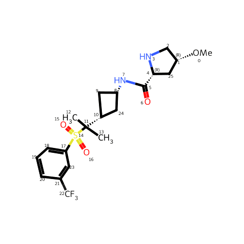 CO[C@H]1CN[C@@H](C(=O)N[C@H]2C[C@@H](C(C)(C)S(=O)(=O)c3cccc(C(F)(F)F)c3)C2)C1